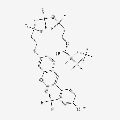 COc1ccc(-c2cc3ccc(SCCC(F)(F)OC(F)(F)OC(F)(F)CCOC(=O)C(C)(CC(C)(C)C)C(C)(C)C)cc3oc2=O)c(C(F)(F)F)c1